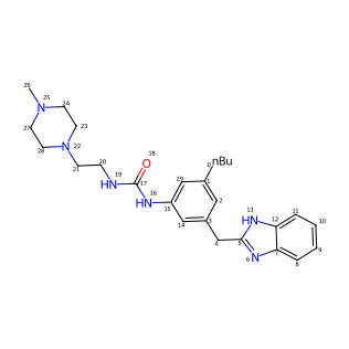 CCCCc1cc(Cc2nc3ccccc3[nH]2)cc(NC(=O)NCCN2CCN(C)CC2)c1